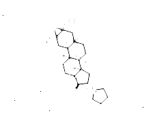 C[C@]12C[C@H]3O[C@@]3(O)C[C@@H]1CC[C@@H]1[C@@H]2CC[C@]2(C)C(=O)[C@@H](N3CCCC3)C[C@@H]12